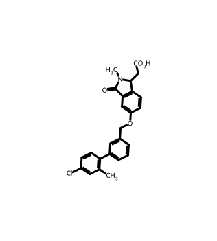 Cc1cc(Cl)ccc1-c1cccc(COc2ccc3c(c2)C(=O)N(C)C3CC(=O)O)c1